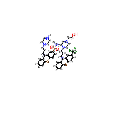 CN1CCN(CC/C=C2/c3ccccc3Sc3ccc(S(=O)(=O)N(C)C)cc32)CC1.OCCN1CCN(CC/C=C2/c3ccccc3Sc3ccc(C(F)(F)F)cc32)CC1